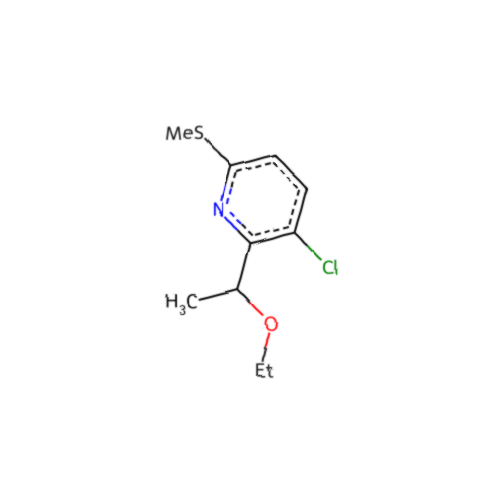 CCOC(C)c1nc(SC)ccc1Cl